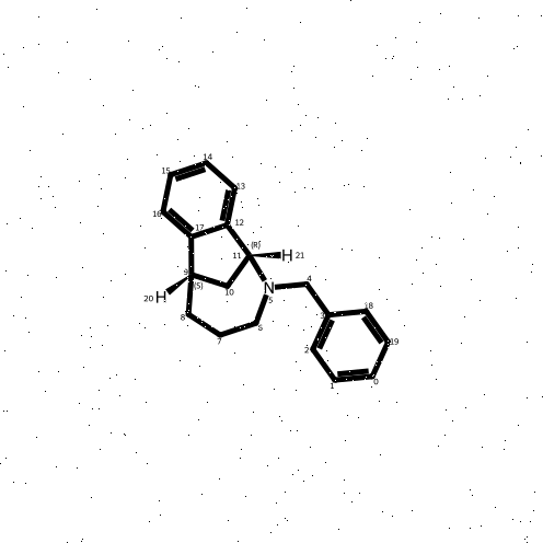 c1ccc(CN2CCC[C@H]3C[C@@H]2c2ccccc23)cc1